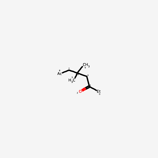 CCC(=O)CC(C)(C)CC(C)=O